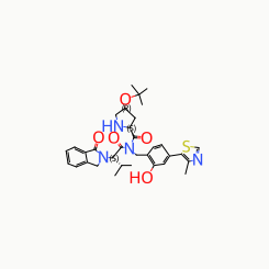 Cc1ncsc1-c1ccc(CN(C(=O)[C@@H]2C[C@@H](OC(C)(C)C)CN2)C(=O)[C@H](C(C)C)N2Cc3ccccc3C2=O)c(O)c1